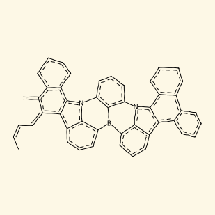 C=c1/c(=C\C=C/C)c2c3cccc4c3n(c2c2ccccc12)-c1cccc2c1B4c1cccc3c4c5ccccc5c5ccccc5c4n-2c13